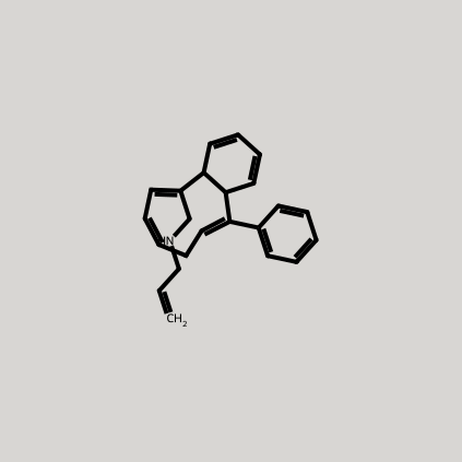 C=CCNC/C1=C\C=C/C/C=C(\c2ccccc2)C2C=CC=CC12